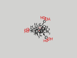 Cc1c(C)c(B2c3c(C)c(C)c(C#Cc4ccc(B(O)O)cc4)c(C)c3Cc3c(C)c(C#Cc4ccc(B(O)O)cc4)c(C)c(C)c32)c(C)c(C)c1C#Cc1ccc(B(O)O)cc1